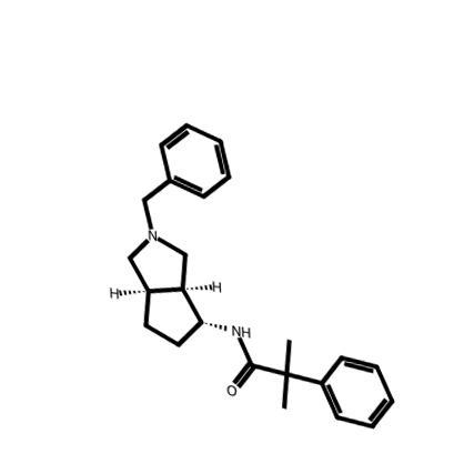 CC(C)(C(=O)N[C@@H]1CC[C@H]2CN(Cc3ccccc3)C[C@H]21)c1ccccc1